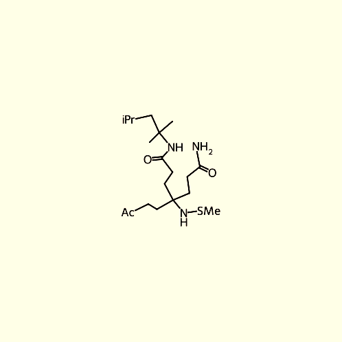 CSNC(CCC(C)=O)(CCC(N)=O)CCC(=O)NC(C)(C)CC(C)C